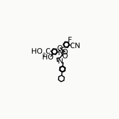 N#Cc1cc(S(=O)(=O)N(C(=O)C2CCN2Cc2ccc(C3CCCCC3)cc2)c2ccc(C(=O)O)c(O)c2)ccc1F